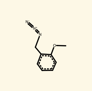 COc1ccccc1CN=[N+]=[N-]